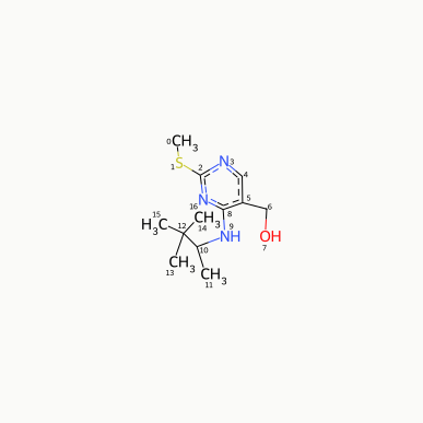 CSc1ncc(CO)c(NC(C)C(C)(C)C)n1